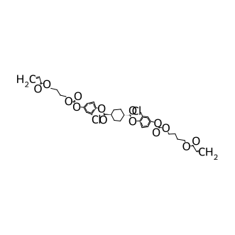 C=CC(=O)OCCCCOC(=O)Oc1ccc(OC(=O)[C@H]2CC[C@H](C(=O)Oc3ccc(OC(=O)OCCCCOC(=O)C=C)cc3Cl)CC2)c(Cl)c1